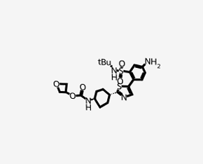 CC(C)(C)NS(=O)(=O)c1cc(N)ccc1-c1cnc([C@H]2CC[C@H](NC(=O)OC3COC3)CC2)s1